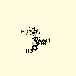 CC(C)(C)OC(=O)N1CC(CN(Cc2ccc(O)cc2F)C(=O)c2cc(Cl)n[nH]2)C1